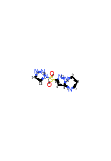 O=S(=O)(c1cc2ncccn2n1)n1ccnn1